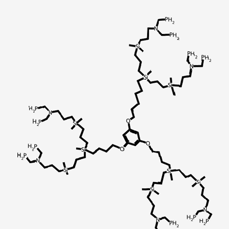 C[Si](C)(CCCN(CP)CP)CCC[Si](C)(CCCCCCOc1cc(OCCCC[Si](C)(CCC[Si](C)(C)CCCN(CP)CP)CCC[Si](C)(C)CCCN(CP)CP)cc(OCCCC[Si](C)(CCC[Si](C)(C)CCCN(CP)CP)CCC[Si](C)(C)CCCN(CP)CP)c1)CCC[Si](C)(C)CCCN(CP)CP